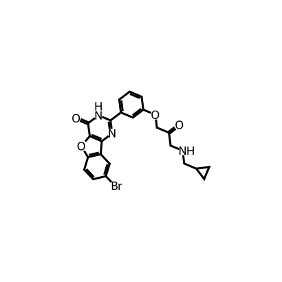 O=C(CNCC1CC1)COc1cccc(-c2nc3c(oc4ccc(Br)cc43)c(=O)[nH]2)c1